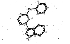 c1cnc(Nc2nccc(-c3c[nH]c4ccncc34)n2)nc1